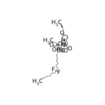 CC#CCOc1ccc(C[C@H](NC(=O)[C@@H](C=CCCCCCCC(F)(F)CCCCCCC)[C@@](O)(CCC)C(=O)O)C(=O)O)cc1